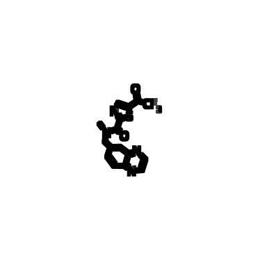 CN(Cc1ccc2nccnc2c1)C(=O)c1ncc(C(=O)C(F)(F)F)s1